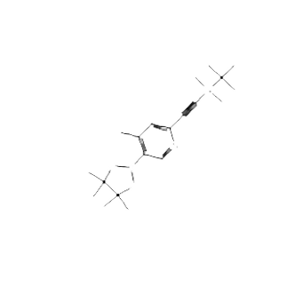 Cc1cc(C#C[Si](C)(C)C(C)(C)C)ncc1B1OC(C)(C)C(C)(C)O1